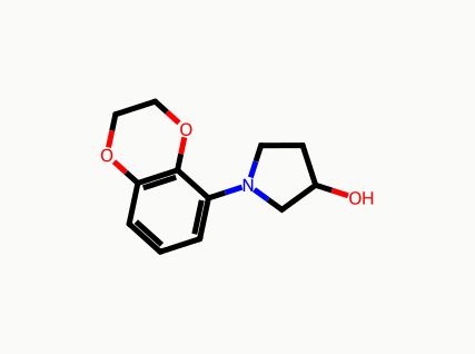 OC1CCN(c2cccc3c2OCCO3)C1